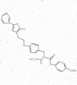 COc1ccc(OC(=O)N(Cc2ccc(OCCc3nc(-c4ccccc4)oc3C)cc2)[C@@H](C)C(=O)O)cc1